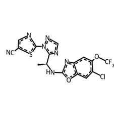 C[C@H](Nc1nc2cc(OC(F)(F)F)c(Cl)cc2o1)c1ncnn1-c1ncc(C#N)s1